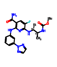 CC[C@@H](Nc1nc(Nc2cccc(-n3nccn3)c2)c(C(N)=O)cc1F)[C@H](C)NC(=O)OC(C)(C)C